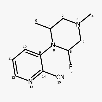 CC1CN(C)CC(F)N1c1cccnc1C#N